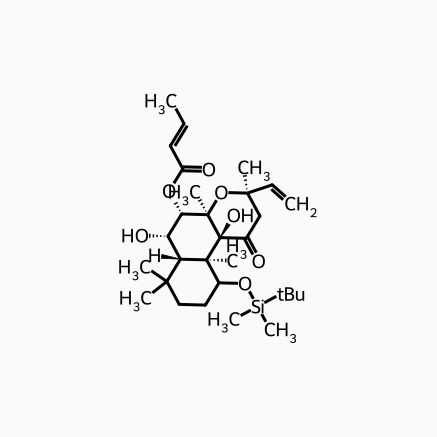 C=C[C@@]1(C)CC(=O)[C@]2(O)[C@@]3(C)C(O[Si](C)(C)C(C)(C)C)CCC(C)(C)[C@@H]3[C@H](O)[C@H](OC(=O)/C=C/C)[C@@]2(C)O1